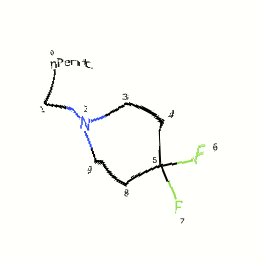 CCCCCCN1CCC(F)(F)CC1